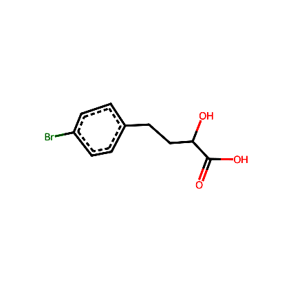 O=C(O)C(O)CCc1ccc(Br)cc1